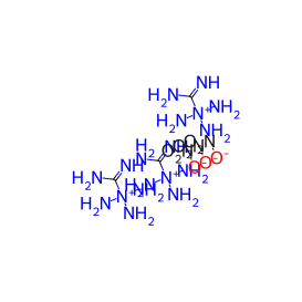 N=C(N)[N+](N)(N)N.N=C(N)[N+](N)(N)N.N=C(N)[N+](N)(N)N.O=[N+]([O-])[O-].O=[N+]([O-])[O-].O=[N+]([O-])[O-]